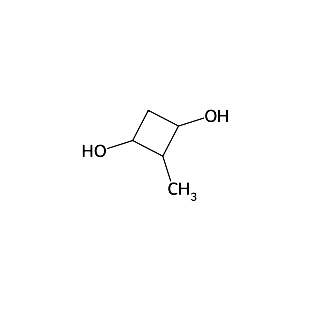 CC1C(O)CC1O